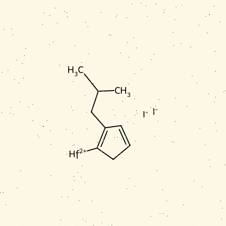 CC(C)CC1=[C]([Hf+2])CC=C1.[I-].[I-]